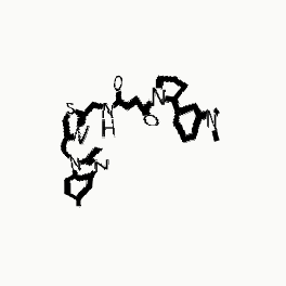 Cc1ccc2c(c1)nc(C)n2Cc1csc(CNC(=O)CCC(=O)N2CCCC2c2cccc(N(C)C)c2)n1